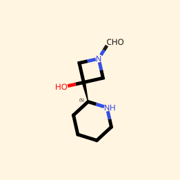 O=CN1CC(O)([C@@H]2CCCCN2)C1